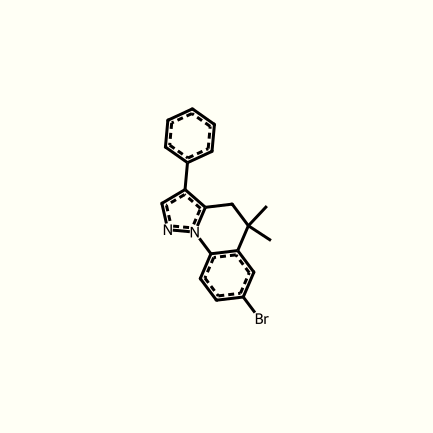 CC1(C)Cc2c(-c3ccccc3)cnn2-c2ccc(Br)cc21